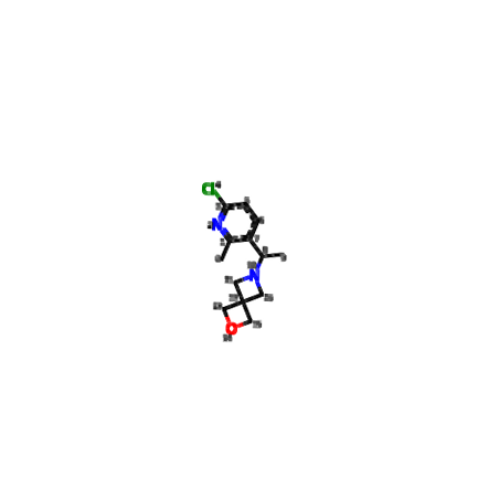 Cc1nc(Cl)ccc1C(C)N1CC2(COC2)C1